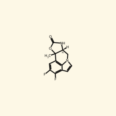 CC12OC(=O)N[C@@H]1Cn1ccc3c(F)c(F)cc2c31